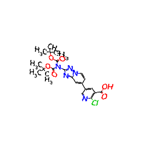 CC(C)(C)OC(=O)N(C(=O)OC(C)(C)C)c1nc2cc(-c3cnc(Cl)c(C(=O)O)c3)ccn2n1